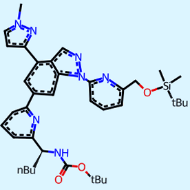 CCCC[C@H](NC(=O)OC(C)(C)C)c1cccc(-c2cc(-c3ccn(C)n3)c3cnn(-c4cccc(CO[Si](C)(C)C(C)(C)C)n4)c3c2)n1